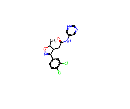 CC1ON=C(c2ccc(Cl)c(Cl)c2)C1CC(=O)Nc1cncnc1